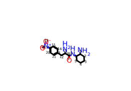 NC1CCCCC1NC(=O)[C@H](N)Cc1ccc([N+](=O)[O-])cc1